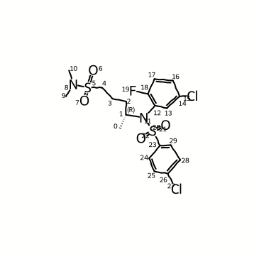 C[C@H](CCCS(=O)(=O)N(C)C)N(c1cc(Cl)ccc1F)S(=O)(=O)c1ccc(Cl)cc1